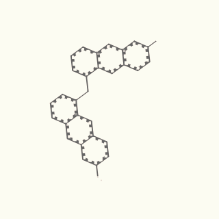 Oc1ccc2cc3c(Cc4cccc5cc6cc(O)ccc6cc45)cccc3cc2c1